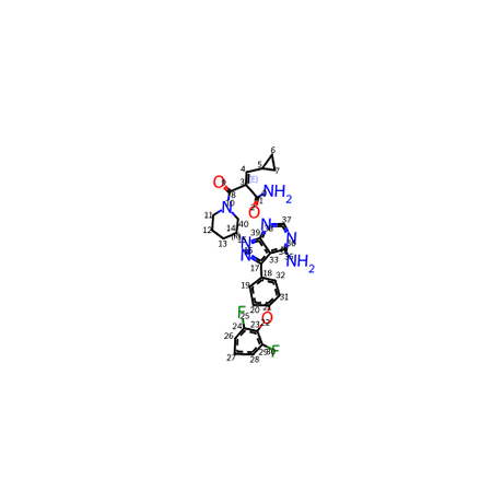 NC(=O)/C(=C\C1CC1)C(=O)N1CCC[C@@H](n2nc(-c3ccc(Oc4c(F)cccc4F)cc3)c3c(N)ncnc32)C1